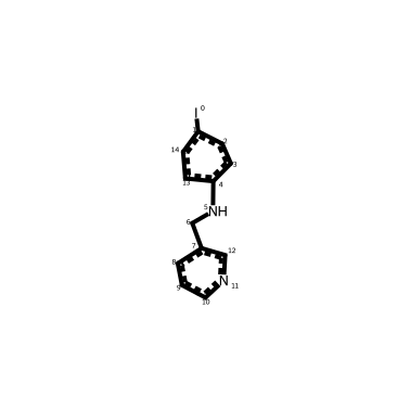 Ic1ccc(NCc2cccnc2)cc1